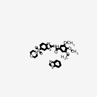 COc1cc(C(=O)Nc2nc3ccc(S(=O)(=O)N4CCOCC4)cc3s2)cc(OC)c1OC.c1ccc2scnc2c1